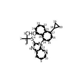 CC(C)(C=O)Sc1nc2cccnc2n1-c1ccc(C2CC2)c2ccccc12